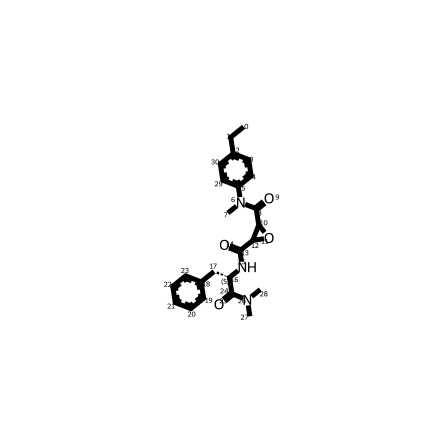 CCc1ccc(N(C)C(=O)C2OC2C(=O)N[C@@H](Cc2ccccc2)C(=O)N(C)C)cc1